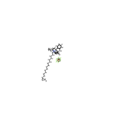 CCCCCCCCCCCCCCCC[N+](C)(C)C(CC)(CC)c1ccccc1CC.F[P-](F)(F)(F)(F)F